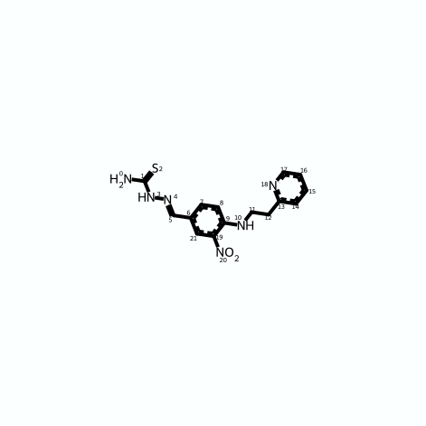 NC(=S)N/N=C/c1ccc(NCCc2ccccn2)c([N+](=O)[O-])c1